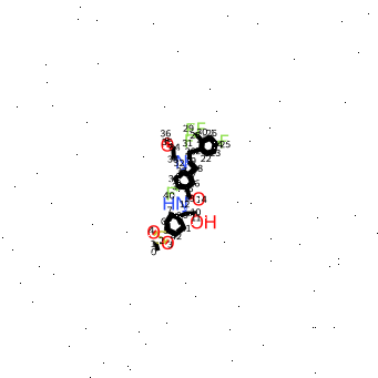 CCS(=O)(=O)c1ccc(C(CO)NC(=O)c2cc3cc(Cc4ccc(F)cc4C(F)(F)F)n(CCOC)c3cc2F)cc1